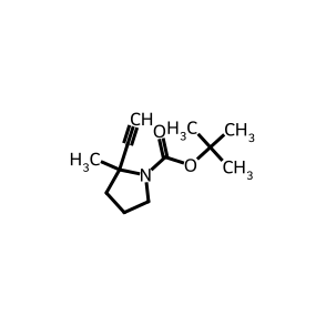 C#CC1(C)CCCN1C(=O)OC(C)(C)C